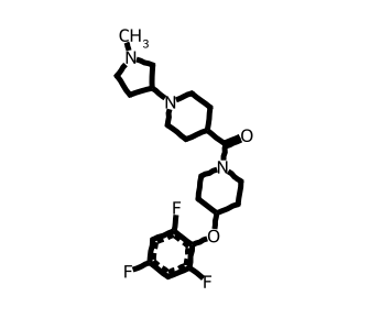 CN1CCC(N2CCC(C(=O)N3CCC(Oc4c(F)cc(F)cc4F)CC3)CC2)C1